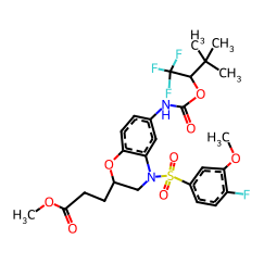 COC(=O)CCC1CN(S(=O)(=O)c2ccc(F)c(OC)c2)c2cc(NC(=O)OC(C(C)(C)C)C(F)(F)F)ccc2O1